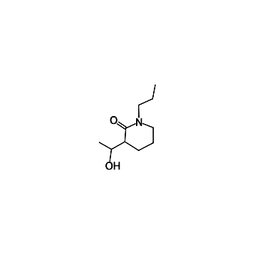 CCCN1CCCC(C(C)O)C1=O